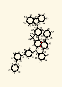 CC1(C)c2cc(N(c3ccc(-c4cccc(-c5ccccc5)c4)cc3)c3ccccc3-c3ccc(-c4ccccc4)cc3)ccc2-c2ccc(-n3c4ccccc4c4ccccc43)cc21